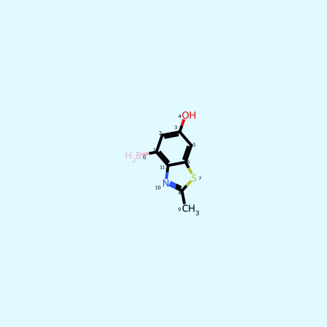 Bc1cc(O)cc2sc(C)nc12